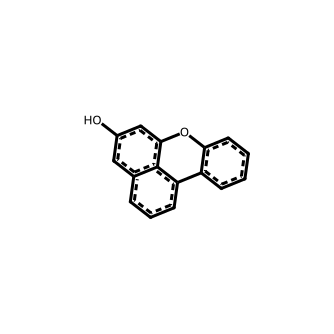 Oc1cc2c3c(cccc3c1)-c1ccccc1O2